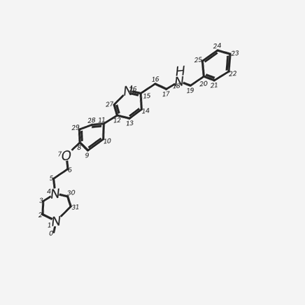 CN1CCN(CCOc2ccc(-c3ccc(CCNCc4ccccc4)nc3)cc2)CC1